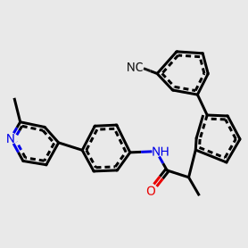 Cc1cc(-c2ccc(NC(=O)C(C)c3cccc(-c4cccc(C#N)c4)c3)cc2)ccn1